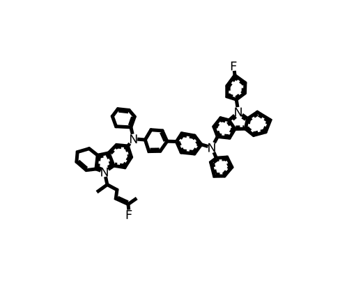 C/C(F)=C\CC(C)n1c2c(c3cc(N(C4=CC=CCC4)C4C=CC(c5ccc(N(c6ccccc6)c6ccc7c(c6)c6ccccc6n7-c6ccc(F)cc6)cc5)=CC4)ccc31)CCC=C2